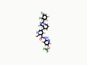 Cc1ncc(-c2cccn3c(-c4cccc(F)c4F)ncc23)cc1C(=O)Nc1ccc(OC(F)F)cn1